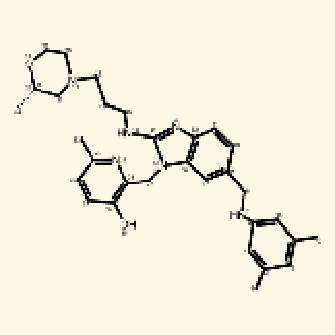 Cc1cc(C)cc(NCc2ccc3nc(NCCCN4CCO[C@@H](C)C4)n(Cc4nc(C)ccc4O)c3c2)c1